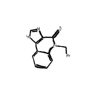 CC(C)Cn1c(=O)c2nc[nH]c2c2ccccc21